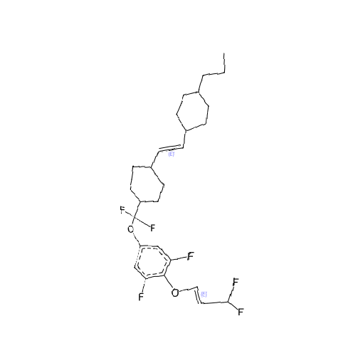 CCCC1CCC(/C=C/C2CCC(C(F)(F)Oc3cc(F)c(O/C=C/C(F)F)c(F)c3)CC2)CC1